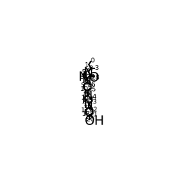 CCC(C)n1cnn(-c2ccc(N3CCN(c4ccc(O)cc4)CC3)cc2)c1=O